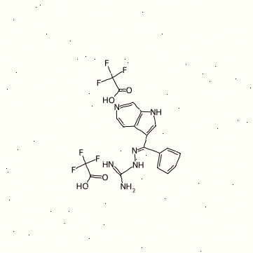 N=C(N)NN=C(c1ccccc1)c1c[nH]c2cnccc12.O=C(O)C(F)(F)F.O=C(O)C(F)(F)F